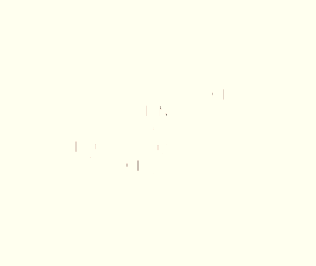 C=C(C)CC(=O)NCCC